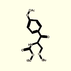 CC(=O)OOc1ccc(C(=O)C(COC(C)(C)C)NC(=O)OC(C)(C)C)cc1